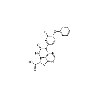 O=C(O)c1sc2ncnc3c2c1NC(=O)N3c1ccc(Oc2ccccc2)c(F)c1